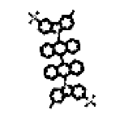 Cc1ccc2c(c1)c1cc([Si](C)(C)C)ccc1n2-c1c2ccccc2c(-c2c3ccccc3c(-n3c4ccc(C)cc4c4cc([Si](C)(C)C)ccc43)c3ccccc23)c2ccccc12